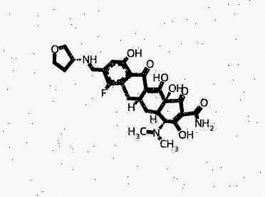 CN(C)[C@@H]1C(O)=C(C(N)=O)C(=O)[C@@]2(O)C(O)=C3C(=O)c4c(O)cc(CN[C@@H]5CCOC5)c(F)c4C[C@H]3C[C@@H]12